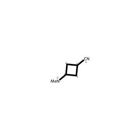 CNC1CC(C#N)C1